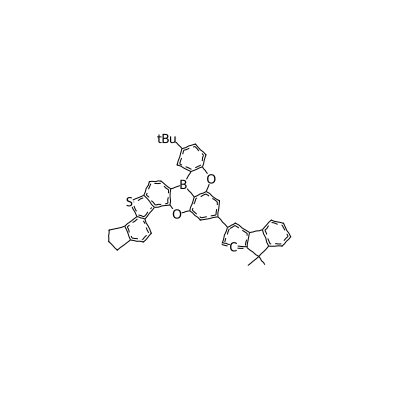 CC(C)(C)c1ccc2c(c1)B1c3ccc4sc5c6c(ccc5c4c3Oc3cc(-c4ccc5c(c4)-c4ccccc4C5(C)C)cc(c31)O2)CCC6